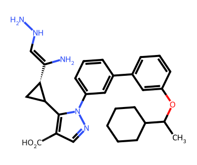 CC(Oc1cccc(-c2cccc(-n3ncc(C(=O)O)c3C3C[C@@H]3/C(N)=C/NN)c2)c1)C1CCCCC1